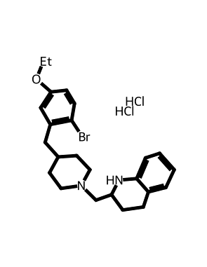 CCOc1ccc(Br)c(CC2CCN(CC3CCc4ccccc4N3)CC2)c1.Cl.Cl